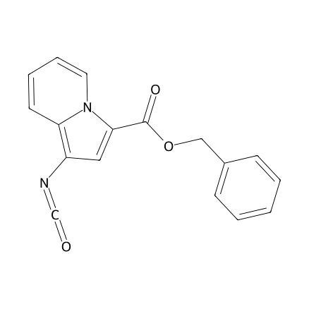 O=C=Nc1cc(C(=O)OCc2ccccc2)n2ccccc12